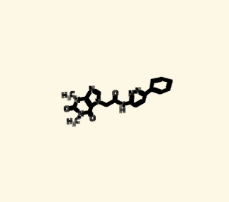 Cn1c(=O)c2c(ncn2CC(=O)Nc2ccc(-c3ccccc3)nn2)n(C)c1=O